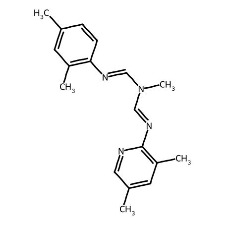 Cc1ccc(N=CN(C)C=Nc2ncc(C)cc2C)c(C)c1